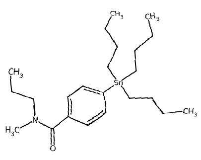 CCC[CH2][Sn]([CH2]CCC)([CH2]CCC)[c]1ccc(C(=O)N(C)CCC)cc1